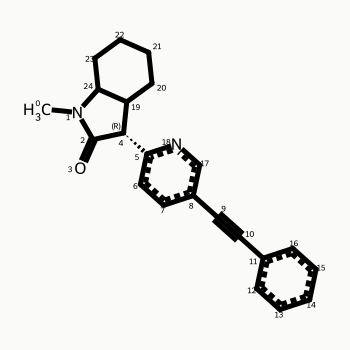 CN1C(=O)[C@@H](c2ccc(C#Cc3ccccc3)cn2)C2CCCCC21